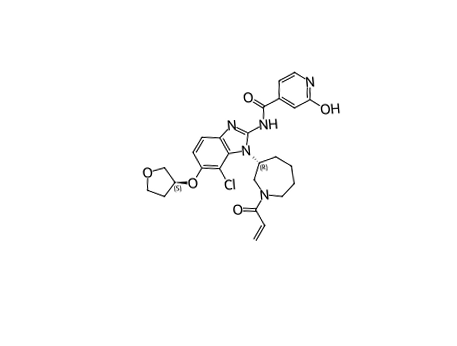 C=CC(=O)N1CCCC[C@@H](n2c(NC(=O)c3ccnc(O)c3)nc3ccc(O[C@H]4CCOC4)c(Cl)c32)C1